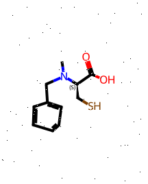 CN(Cc1ccccc1)[C@H](CS)C(=O)O